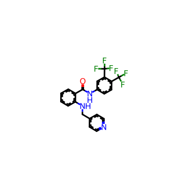 O=C(Nc1ccc(C(F)(F)F)c(C(F)(F)F)c1)c1ccccc1NCc1ccncc1